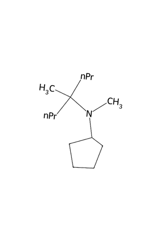 CCCC(C)(CCC)N(C)C1CCCC1